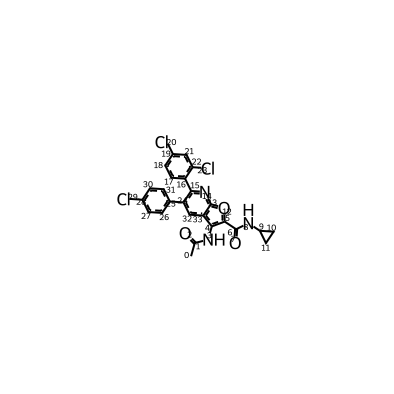 CC(=O)Nc1c(C(=O)NC2CC2)oc2nc(-c3ccc(Cl)cc3Cl)c(-c3ccc(Cl)cc3)cc12